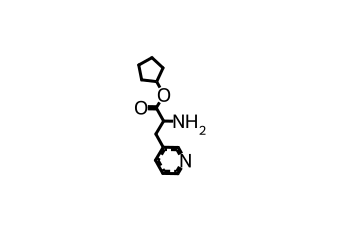 NC(Cc1cccnc1)C(=O)OC1CCCC1